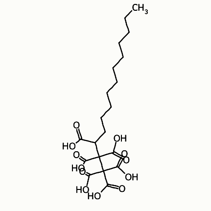 CCCCCCCCCCCC(C(=O)O)C(C(=O)O)(C(=O)O)C(C(=O)O)(C(=O)O)C(=O)O